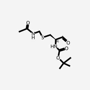 CC(=O)NCSC[C@@H]([C]=O)NC(=O)OC(C)(C)C